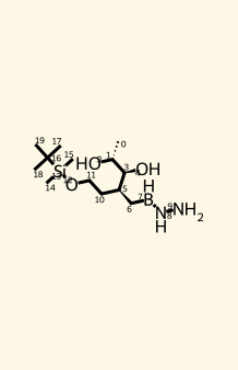 C[C@@H](O)[C@@H](O)[C@@H](CBNN)CCO[Si](C)(C)C(C)(C)C